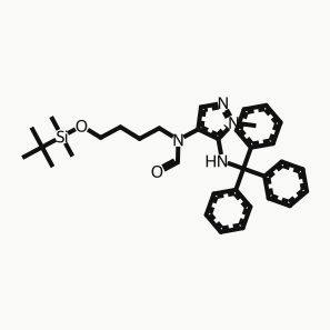 Cn1ncc(N(C=O)CCCCO[Si](C)(C)C(C)(C)C)c1NC(c1ccccc1)(c1ccccc1)c1ccccc1